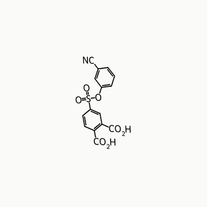 N#Cc1cccc(OS(=O)(=O)c2ccc(C(=O)O)c(C(=O)O)c2)c1